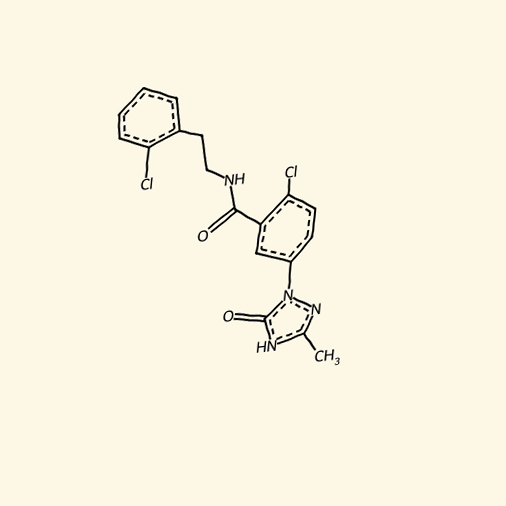 Cc1nn(-c2ccc(Cl)c(C(=O)NCCc3ccccc3Cl)c2)c(=O)[nH]1